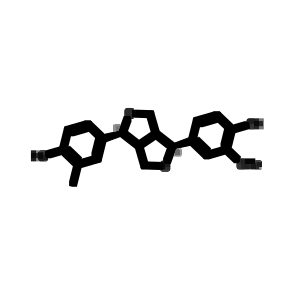 COc1cc([C@H]2OCC3C2CO[C@@H]3c2ccc(O)c(C)c2)ccc1O